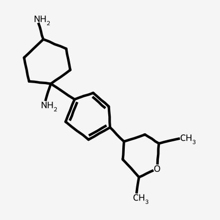 CC1CC(c2ccc(C3(N)CCC(N)CC3)cc2)CC(C)O1